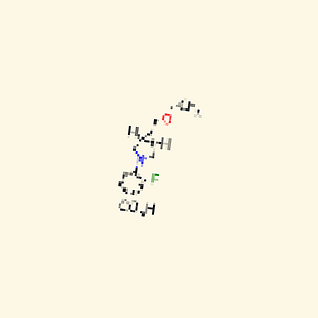 O=C(O)c1ccc(N2C[C@@H]3[C@@H](COCC(F)(F)F)[C@@H]3C2)c(F)c1